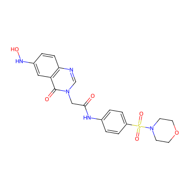 O=C(Cn1cnc2ccc(NO)cc2c1=O)Nc1ccc(S(=O)(=O)N2CCOCC2)cc1